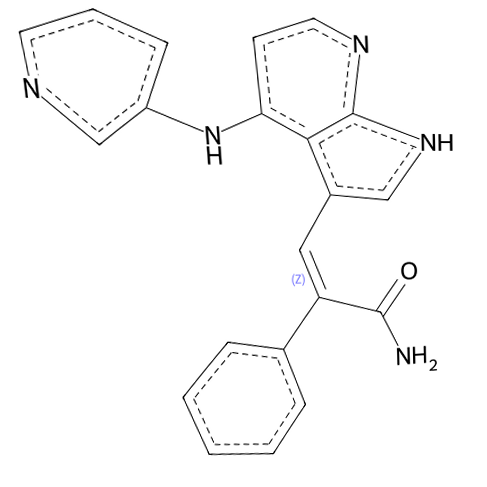 NC(=O)/C(=C\c1c[nH]c2nccc(Nc3cccnc3)c12)c1ccccc1